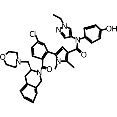 CCn1cc(N(C(=O)c2cc(-c3cc(Cl)ccc3C(=O)N3Cc4ccccc4C[C@H]3CN3CCOCC3)n(C)c2C)c2ccc(O)cc2)cn1